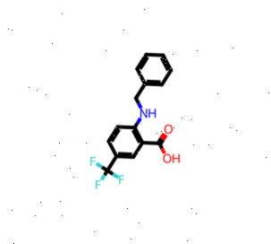 O=C(O)c1cc(C(F)(F)F)ccc1NCc1ccccc1